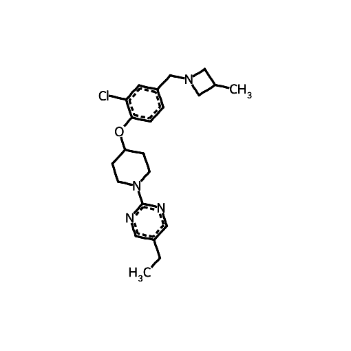 CCc1cnc(N2CCC(Oc3ccc(CN4CC(C)C4)cc3Cl)CC2)nc1